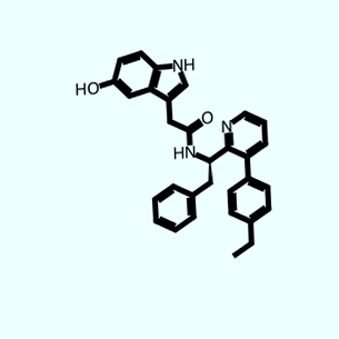 CCc1ccc(-c2cccnc2[C@@H](Cc2ccccc2)NC(=O)Cc2c[nH]c3ccc(O)cc23)cc1